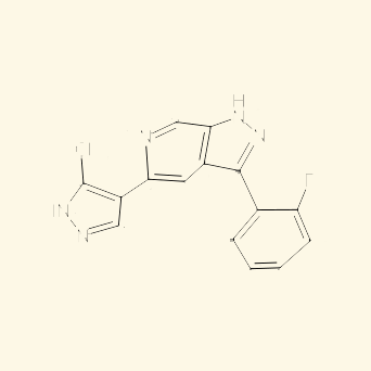 Cc1[nH]ncc1-c1cc2c(-c3ccccc3F)n[nH]c2cn1